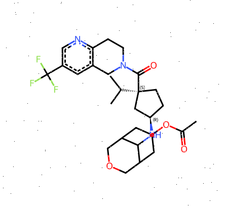 CC(=O)OC1CC2COCC(C1)C2N[C@@H]1CC[C@@](C(=O)N2CCc3ncc(C(F)(F)F)cc3C2)(C(C)C)C1